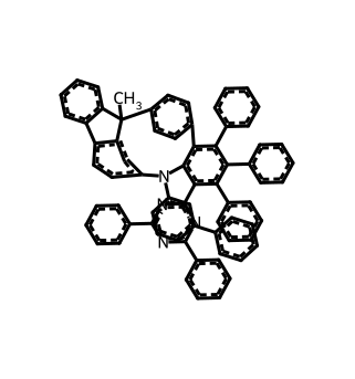 CC12c3ccc(cc3)-c3c(-c4ccccc4)c(-c4ccccc4)c(-c4ccccc4)c(-c4nc(-c5ccccc5)nc(-c5ccccc5)n4)c3N(c3cccc(-c4ccccc4)c3)c3ccc(c1c3)-c1ccccc12